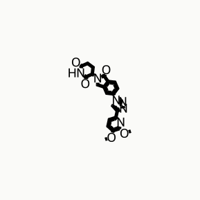 COc1ccc(-c2cn(-c3ccc4c(c3)CN(C3CCC(=O)NC3=O)C4=O)nn2)nc1OC